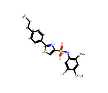 COc1cc(C(=O)O)c(F)cc1NS(=O)(=O)c1csc(-c2ccc(CCC(C)C)cc2)n1